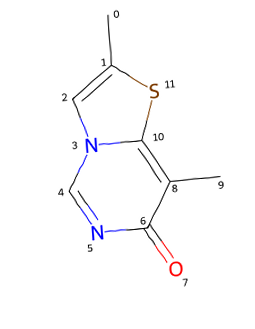 Cc1cn2cnc(=O)c(C)c2s1